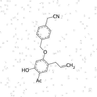 C=CCc1cc(C(C)=O)c(O)cc1OCc1ccc(CC#N)cc1